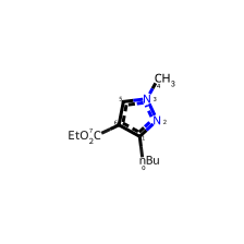 CCCCc1nn(C)cc1C(=O)OCC